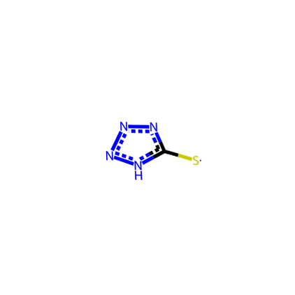 [S]c1nnn[nH]1